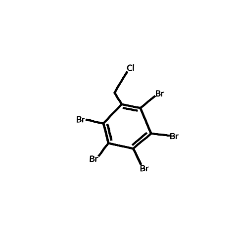 ClCc1c(Br)c(Br)c(Br)c(Br)c1Br